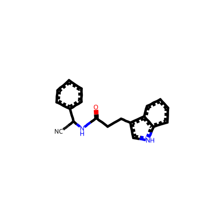 N#CC(NC(=O)CCc1c[nH]c2ccccc12)c1ccccc1